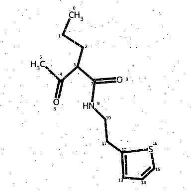 CCCC(C(C)=O)C(=O)NCCc1cccs1